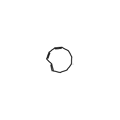 [CH]1CC\C=C/C=C\C=C\CC1